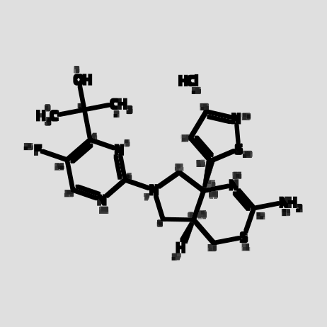 CC(C)(O)c1nc(N2C[C@H]3CSC(N)=N[C@@]3(c3ccns3)C2)ncc1F.Cl